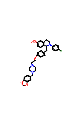 Oc1ccc2c(c1)CCN(c1ccc(F)cc1)C2Cc1ccc(OCCN2CCN(Cc3ccc4c(c3)OCO4)CC2)cc1